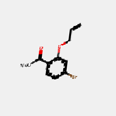 C=CCOc1cc(Br)ccc1C(=O)OC